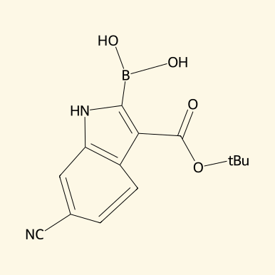 CC(C)(C)OC(=O)c1c(B(O)O)[nH]c2cc(C#N)ccc12